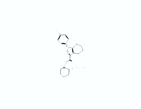 CCOC(=O)[C@@H]1CCCC[C@H]1NC(=O)c1nn(-c2ccc(F)cc2)c2c1CCCC2